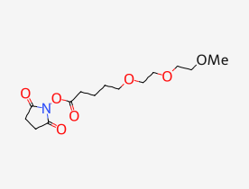 COCCOCCOCCCCC(=O)ON1C(=O)CCC1=O